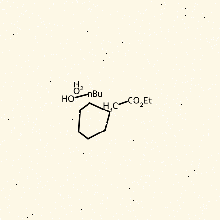 C1CCCCC1.CCCCO.CCOC(C)=O.O